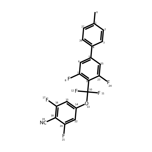 Cc1ccc(-c2cc(F)c(C(F)(F)Oc3cc(F)c(C#N)c(F)c3)c(F)c2)cc1